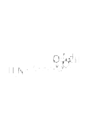 Cc1ccc(OCCCCCCCCCCCCN)c(-c2ccccc2)c1C